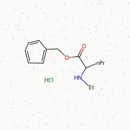 CCCC(NCC)C(=O)OCc1ccccc1.Cl